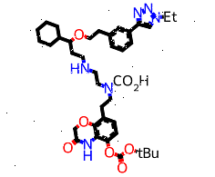 CCn1cc(-c2cccc(CCOC(CCNCCN(CCc3ccc(OC(=O)OC(C)(C)C)c4c3OCC(=O)N4)C(=O)O)C3CCCCC3)c2)nn1